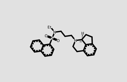 CCN(CCCN1CCc2cccc3c2[C@@H]1CC3)S(=O)(=O)c1cccc2ccccc12